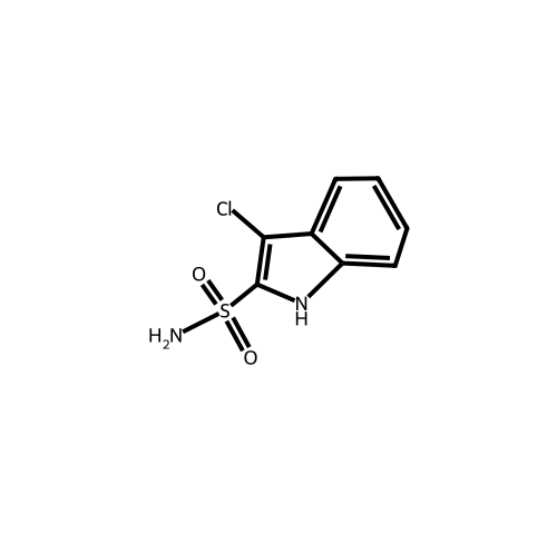 NS(=O)(=O)c1[nH]c2ccccc2c1Cl